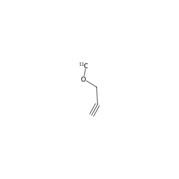 C#CCO[11CH3]